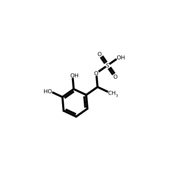 CC(OS(=O)(=O)O)c1cccc(O)c1O